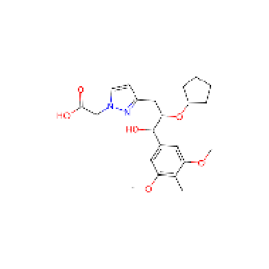 COc1cc(C(O)C(Cc2ccn(CC(=O)O)n2)OC2CCCC2)cc(OC)c1C